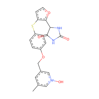 Cc1cc(COc2ccc(Sc3ccoc3C3NC(=O)NC3=O)cc2)c[n+](O)c1